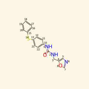 O=C(NCc1cnco1)Nc1ccc(Sc2ccccc2)cc1